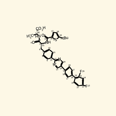 C[C@@H](NC(=O)[C@H](Cc1ccc(-c2ncc(-c3ccc(-c4ccc(F)cc4F)cc3)cn2)cc1)NC(=O)c1ccc(C(C)(C)C)s1)C(=O)O